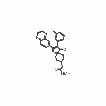 CNC(=O)CC1CCC2(CC1)OC(c1ccc3nccnc3c1)=C(c1cccc(C)c1)C2=O